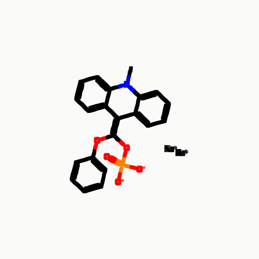 CN1c2ccccc2C(=C(Oc2ccccc2)OP(=O)([O-])[O-])c2ccccc21.[Na+].[Na+]